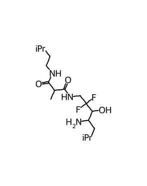 CC(C)CCNC(=O)C(C)C(=O)NCC(F)(F)C(O)C(N)CC(C)C